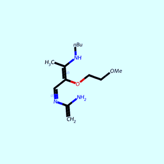 C=C(N)/N=C\C(OCCOC)=C(/C)NCCCC